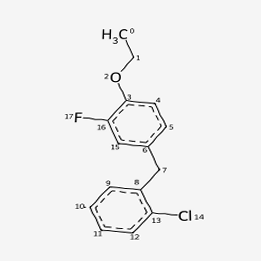 CCOc1ccc(Cc2c[c]ccc2Cl)cc1F